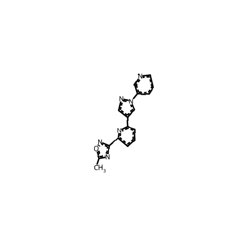 Cc1nc(-c2cccc(-c3cnn(-c4cccnc4)c3)n2)no1